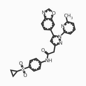 Cc1cccc(-n2nc(CC(=O)Nc3ccc(S(=O)(=O)C4CC4)cc3)cc2-c2ccc3ncoc3c2)n1